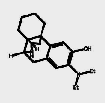 CCN(CC)c1cc2c(cc1O)[C@@]13CCCC[C@H]1[C@@H](C2)NCC3